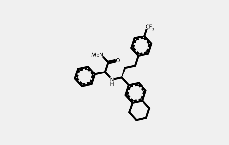 CNC(=O)C(N[C@@H](CCc1ccc(C(F)(F)F)cc1)c1ccc2c(c1)CCCC2)c1ccccc1